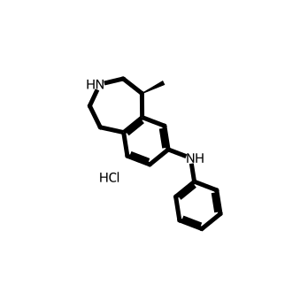 C[C@@H]1CNCCc2ccc(Nc3ccccc3)cc21.Cl